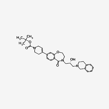 CC(C)(C)OC(=O)N1CC=C(c2ccc3c(c2)OCCN(C[C@H](O)CN2CCc4ccccc4C2)C3=O)CC1